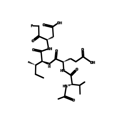 CC[C@H](C)[C@H](NC(=O)[C@H](CCC(=O)O)NC(=O)[C@@H](NC(C)=O)C(C)C)C(=O)N[C@@H](CC(=O)O)C(=O)CF